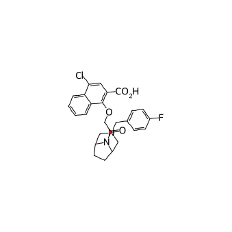 O=C(O)c1cc(Cl)c2ccccc2c1OCC(=O)N1C2CCC1CN(Cc1ccc(F)cc1)C2